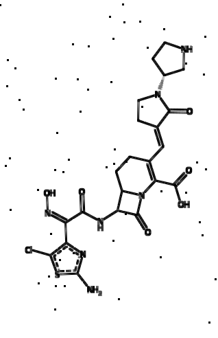 Nc1nc(/C(=N/O)C(=O)NC2C(=O)N3C(C(=O)O)=C(/C=C4\CCN([C@@H]5CCNC5)C4=O)CCC23)c(Cl)s1